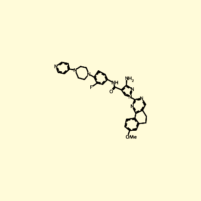 COc1ccc2c(c1)CCc1cnc(-n3cc(C(=O)Nc4ccc(N5CCN(c6ccncc6)CC5)c(F)c4)c(N)n3)nc1-2